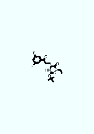 CCOC(=O)[C@@H](CCC(=O)c1cc(F)cc(F)c1)NC(=O)OC(C)(C)C